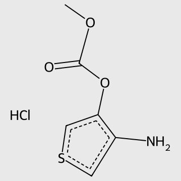 COC(=O)Oc1cscc1N.Cl